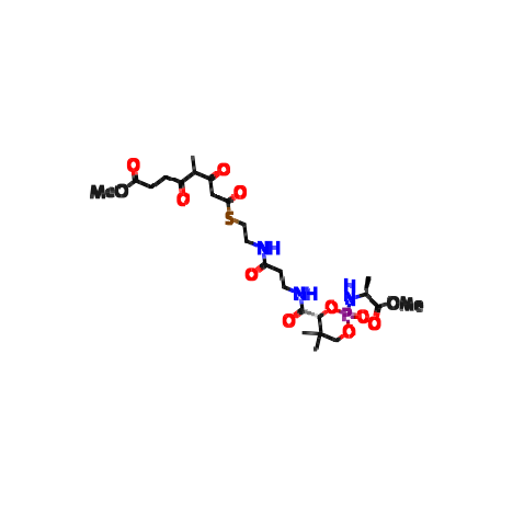 COC(=O)CCC(=O)C(C)C(=O)CC(=O)SCCNC(=O)CCNC(=O)[C@@H]1OP(=O)(N[C@@H](C)C(=O)OC)OCC1(C)C